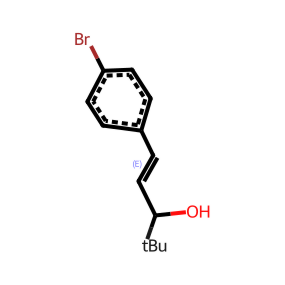 CC(C)(C)C(O)/C=C/c1ccc(Br)cc1